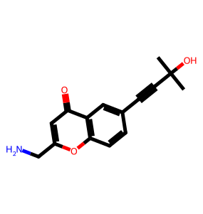 CC(C)(O)C#Cc1ccc2oc(CN)cc(=O)c2c1